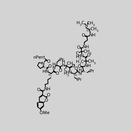 CCCCCC(=O)N1CCC[C@H]1C(=O)N[C@@H](CCCCNC(=O)c1cc2ccc(OC)cc2oc1=O)C(=O)N[C@@H](CC(C)C)C(=O)NC(C)(C)C(=O)N[C@@H](CC(C)C)C(=O)N[C@@H](CC(C)C)C(=O)NC(C)(C)C(=O)NC(C)(C)C(=O)NCCC(=O)N[C@@H](C)CN(C)C